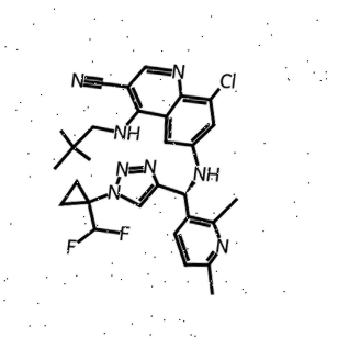 Cc1ccc([C@H](Nc2cc(Cl)c3ncc(C#N)c(NCC(C)(C)C)c3c2)c2cn(C3(C(F)F)CC3)nn2)c(C)n1